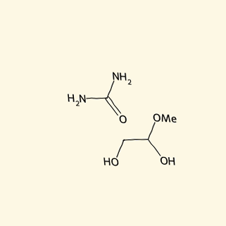 COC(O)CO.NC(N)=O